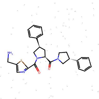 NCc1cnc(C(=O)N2C[C@@H](c3ccccc3)C[C@H]2C(=O)N2CC[C@H](c3ccccc3)C2)s1